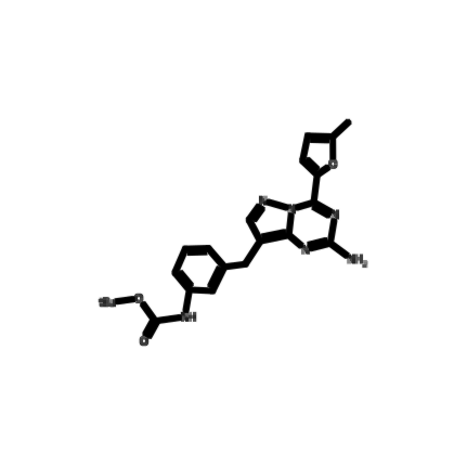 Cc1ccc(-c2nc(N)nc3c(Cc4cccc(NC(=O)OC(C)(C)C)c4)cnn23)o1